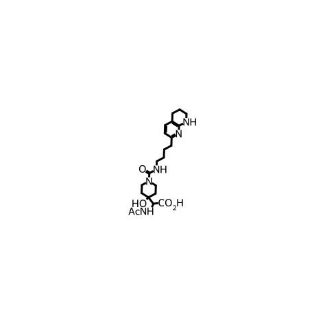 CC(=O)NC(C(=O)O)C1(O)CCN(C(=O)NCCCCc2ccc3c(n2)NCCC3)CC1